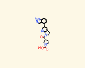 O=C(O)N1CC[C@H](C(=O)N2CCc3cc(-c4cccc5[nH]ncc45)cnc32)C1